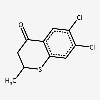 CC1CC(=O)c2cc(Cl)c(Cl)cc2S1